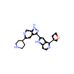 c1cc2[nH]c(-c3n[nH]c4cnc(C5CCNCC5)cc34)cc2c(-c2ccoc2)n1